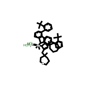 CC1(CC2=Cc3c(-c4ccccc4C(C)(C)C)cccc3[CH]2[Zr]([CH3])([CH3])(=[SiH2])[CH]2C(CC3(C)CCCCCC3)=Cc3c(-c4ccccc4C(C)(C)C)cccc32)CCCCCC1.Cl.Cl